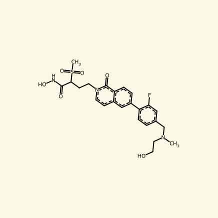 CN(CCO)Cc1ccc(-c2ccc3c(=O)n(CCC(C(=O)NO)S(C)(=O)=O)ccc3c2)c(F)c1